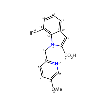 COc1ccc(Cn2c(C(=O)O)cc3cccc(C(C)C)c32)nc1